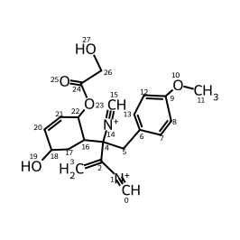 C#[N+]C(=C)C(Cc1ccc(OC)cc1)([N+]#C)C1CC(O)C=CC1OC(=O)CO